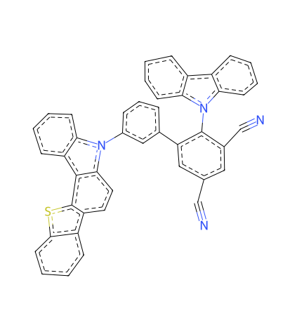 N#Cc1cc(C#N)c(-n2c3ccccc3c3ccccc32)c(-c2cccc(-n3c4ccccc4c4c5sc6ccccc6c5ccc43)c2)c1